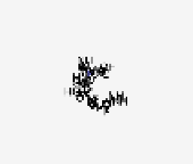 CC(C)(O/N=C(\C(=O)N[C@@H]1C(=O)N2C(C(=O)O)=C(C[n+]3ccc4n(Cc5ccc(C(=N)N)cc5F)ccn43)CS[C@H]12)c1nsc(N)n1)C(=O)O